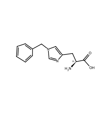 N[C@@H](Cc1cn(Cc2ccccc2)cn1)C(=O)O